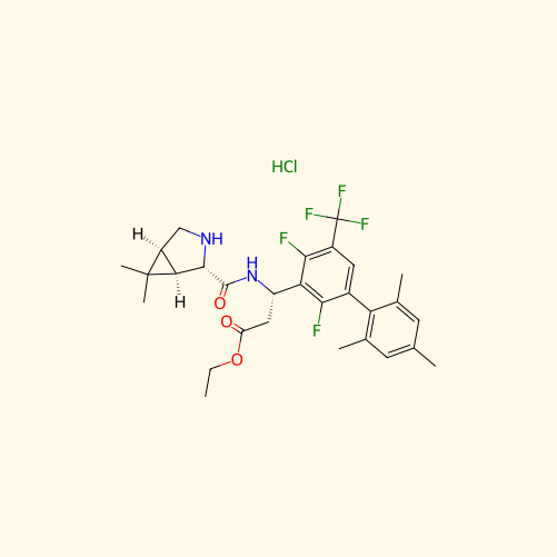 CCOC(=O)C[C@H](NC(=O)[C@H]1NC[C@H]2[C@@H]1C2(C)C)c1c(F)c(-c2c(C)cc(C)cc2C)cc(C(F)(F)F)c1F.Cl